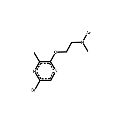 CC(=O)N(C)CCOc1ncc(Br)nc1C